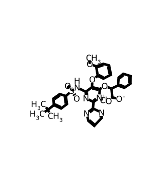 COc1ccccc1Oc1c(NS(=O)(=O)c2ccc(C(C)(C)C)cc2)nc(-c2ncccn2)[n+](Cl)c1OC(C(=O)[O-])c1ccccc1